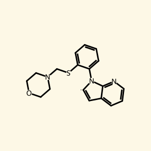 [c]1cc2cccnc2n1-c1ccccc1SCN1CCOCC1